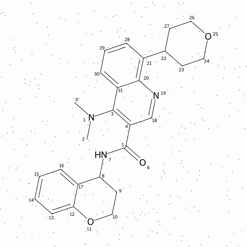 CN(C)c1c(C(=O)NC2CCOc3ccccc32)cnc2c(C3CCOCC3)cccc12